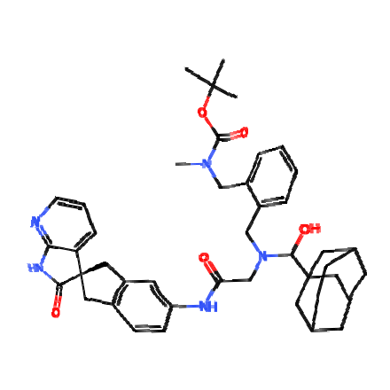 CN(Cc1ccccc1CN(CC(=O)Nc1ccc2c(c1)C[C@@]1(C2)C(=O)Nc2ncccc21)C(O)C12CC3CC(CC(C3)C1)C2)C(=O)OC(C)(C)C